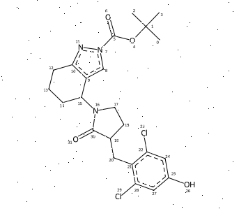 CC(C)(C)OC(=O)n1cc2c(n1)CCCC2N1CCC(Cc2c(Cl)cc(O)cc2Cl)C1=O